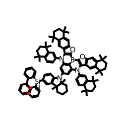 CC1(C)CCC(C)(C)c2cc(N3c4cc(N5c6ccc([SiH](c7ccccc7)c7ccccc7-c7ccccc7)cc6C6(C)CCCCC56C)cc5c4B(c4oc6cc7c(cc6c43)C(C)(C)CCC7(C)C)c3oc4cc6c(cc4c3N5c3ccc4c(c3)C(C)(C)CCC4(C)C)C(C)(C)CCC6(C)C)ccc21